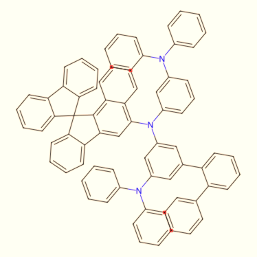 c1ccc(-c2ccccc2-c2cc(N(c3ccccc3)c3ccccc3)cc(N(c3cccc(N(c4ccccc4)c4ccccc4)c3)c3cc4c(c5ccccc35)C3(c5ccccc5-c5ccccc53)c3ccccc3-4)c2)cc1